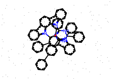 c1ccc(-c2ccc(C3=NC(c4ccccc4)NC(n4c5ccccc5c5ccc6c7ccccc7n(-c7c(-c8ccccc8)cc8c9ccccc9n(-c9ccccc9)c8c7-c7ccccc7)c6c54)=N3)cc2)cc1